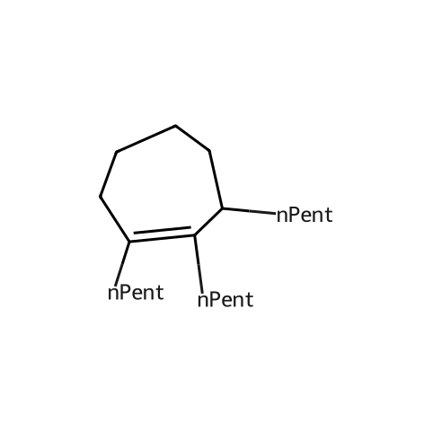 CCCCCC1=C(CCCCC)C(CCCCC)CCCC1